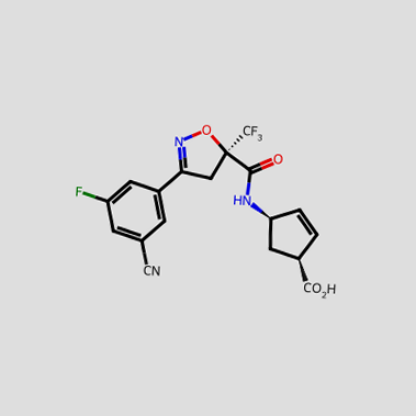 N#Cc1cc(F)cc(C2=NO[C@](C(=O)N[C@H]3C=C[C@@H](C(=O)O)C3)(C(F)(F)F)C2)c1